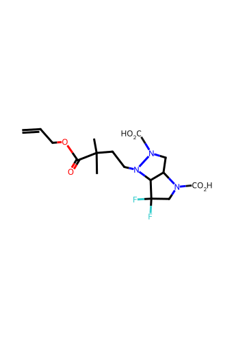 C=CCOC(=O)C(C)(C)CCN1C2C(CN1C(=O)O)N(C(=O)O)CC2(F)F